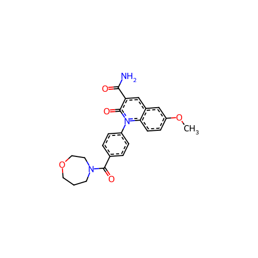 COc1ccc2c(c1)cc(C(N)=O)c(=O)n2-c1ccc(C(=O)N2CCCOCC2)cc1